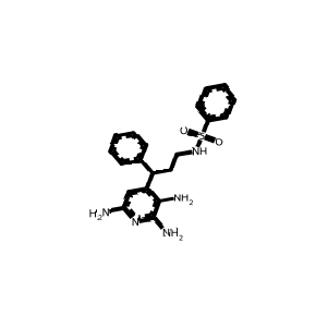 Nc1cc(C(CCNS(=O)(=O)c2ccccc2)c2ccccc2)c(N)c(N)n1